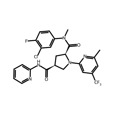 Cc1cc(C(F)(F)F)cc(N2C[C@@H](C(=O)Nc3ccccn3)C[C@H]2C(=O)N(C)c2ccc(F)c(Cl)c2)n1